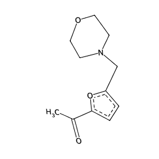 CC(=O)c1ccc(CN2CCOCC2)o1